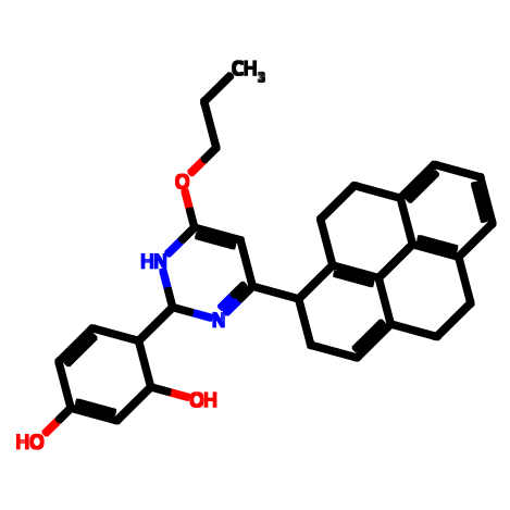 CCCOC1=CC(C2CC=C3CCc4cccc5c4C3=C2CC5)=NC(C2C=CC(O)=CC2O)N1